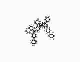 c1ccc(-c2ccc(-c3nc(-c4ccccc4)nc(-n4c5ccccc5c5c6c7ccc8ccccc8c7n(-c7ccc(-c8ccccc8)cc7)c6ccc54)n3)cc2)cc1